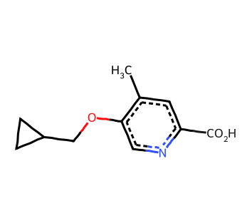 Cc1cc(C(=O)O)ncc1OCC1CC1